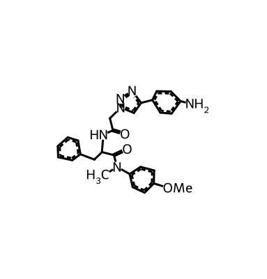 COc1ccc(N(C)C(=O)C(Cc2ccccc2)NC(=O)Cn2cc(-c3ccc(N)cc3)nn2)cc1